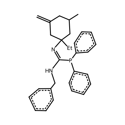 C=C1CC(C)CC(CC)(/N=C(/NCc2ccccc2)P(c2ccccc2)c2ccccc2)C1